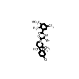 Cc1c(C(=O)O)cc(C(F)(F)F)cc1C(=O)N[C@@H](C(=O)N1CC[C@](O)(c2ccc(Cl)cc2)C(C)(C)C1)C(C)C